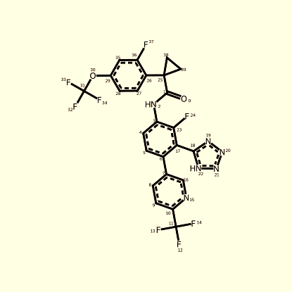 O=C(Nc1ccc(-c2ccc(C(F)(F)F)nc2)c(-c2nnn[nH]2)c1F)C1(c2ccc(OC(F)(F)F)cc2F)CC1